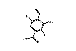 Cc1c(Br)c(C(=O)O)cc(Br)c1C=O